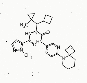 Cn1nccc1C(=O)N[C@H](C(=O)Nc1ccc(N2CCCCC23CCC3)nc1)C(C1CCC1)C1(C)CC1